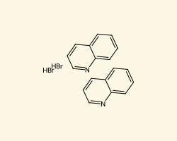 Br.Br.c1ccc2ncccc2c1.c1ccc2ncccc2c1